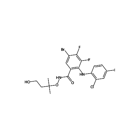 CC(C)(CCO)ONC(=O)c1cc(Br)c(F)c(F)c1Nc1ccc(I)cc1Cl